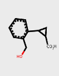 O=C(O)C1CC1c1ccccc1CO